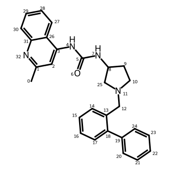 Cc1cc(NC(=O)NC2CCN(Cc3ccccc3-c3ccccc3)C2)c2ccccc2n1